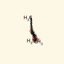 CCCCCCCCCCCCCCOc1ccc(-c2ccc(OC(=O)C(Br)C(C)C)cc2)cc1